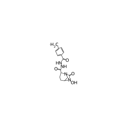 [CH2]c1ccc(C(=O)NNC(=O)C2CCC3CN2C(=O)N3O)cc1